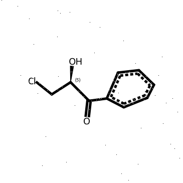 O=C(c1ccccc1)[C@H](O)CCl